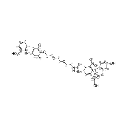 O=C1OC2(C3=C1CC(NC(=S)NCCOCCOCCOc1c(Cl)cc(Nc4ccccc4C(=O)O)cc1Cl)C=C3)c1ccc(O)cc1Oc1cc(O)ccc12